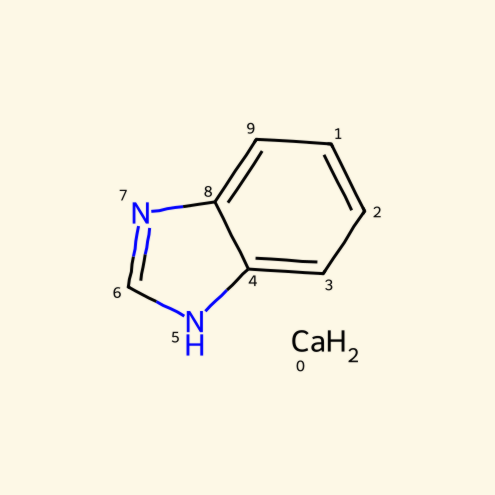 [CaH2].c1ccc2[nH]cnc2c1